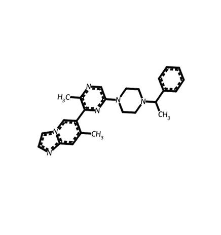 Cc1cc2nccn2cc1-c1nc(N2CCN(C(C)c3ccccc3)CC2)cnc1C